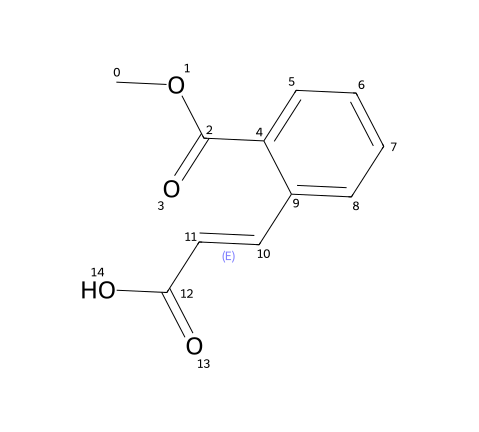 COC(=O)c1ccccc1/C=C/C(=O)O